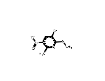 COc1nc(C)c([N+](=O)[O-])cc1Br